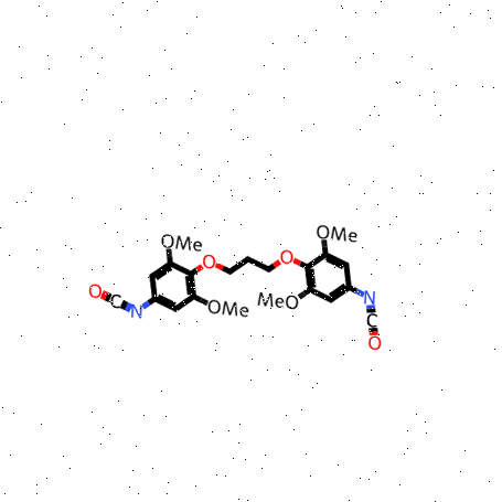 COc1cc(N=C=O)cc(OC)c1OCCCOc1c(OC)cc(N=C=O)cc1OC